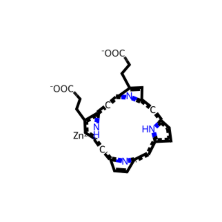 O=C([O-])CCC1=Cc2cc3ccc(cc4nc(cc5cc(CCC(=O)[O-])c(cc1n2)[nH]5)C=C4)[nH]3.[Zn+2]